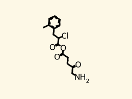 Cc1ccccc1CC(Cl)C(=O)OC(=O)CCC(=O)CN